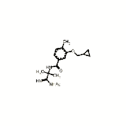 CC(=O)NC(=N)C(C)(C)NC(=O)c1ccc(C)c(OCC2CC2)c1